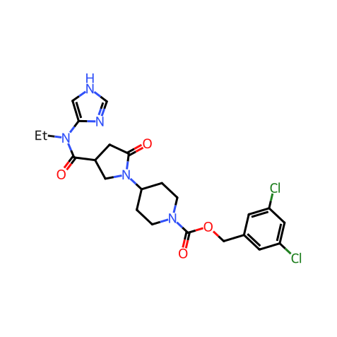 CCN(C(=O)C1CC(=O)N(C2CCN(C(=O)OCc3cc(Cl)cc(Cl)c3)CC2)C1)c1c[nH]cn1